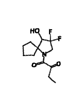 CCC(=O)C(=O)N1CC(F)(F)C(O)C12CCCC2